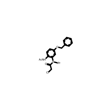 CC(=O)Nc1ccc(OCc2ccccc2)cc1N(C(=O)CCl)C(C)C